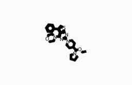 CCOC(C1CCN(c2nc(N3CCOCC3)c3c(-c4ccccc4)csc3n2)CC1)N1CCCC1